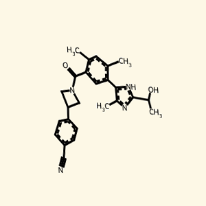 Cc1cc(C)c(-c2[nH]c(C(C)O)nc2C)cc1C(=O)N1CC(c2ccc(C#N)cc2)C1